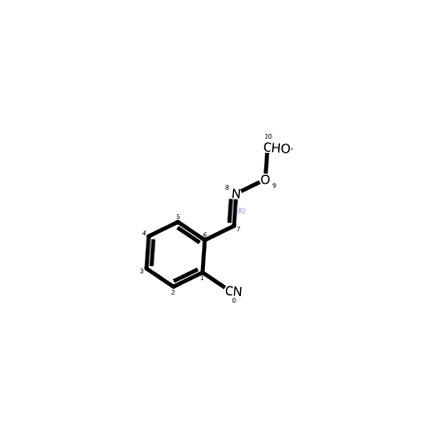 N#Cc1ccccc1/C=N/O[C]=O